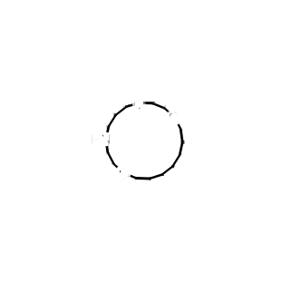 C1CCCOCCNCCCOCCOCCC1